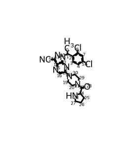 CC(c1ccc(Cl)cc1Cl)n1nc(C#N)c2ncc(N3CCN(C(=O)C4CCCN4)CC3)nc21